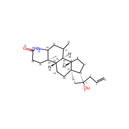 C=CCC(C)(O)[C@H]1CC[C@H]2[C@@H]3C(C)CC4NC(=O)CC[C@]4(C)[C@H]3CC[C@]12C